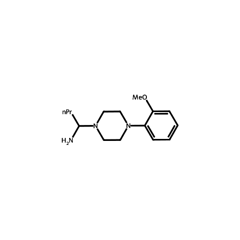 CCCC(N)N1CCN(c2ccccc2OC)CC1